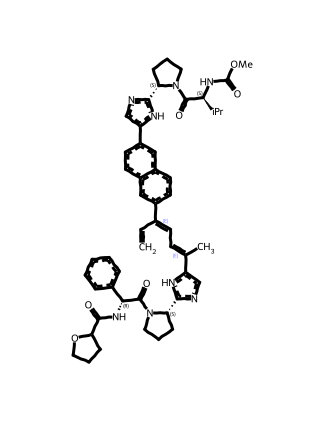 C=C/C(=C\C=C(/C)c1cnc([C@@H]2CCCN2C(=O)[C@H](NC(=O)C2CCCO2)c2ccccc2)[nH]1)c1ccc2cc(-c3cnc([C@@H]4CCCN4C(=O)[C@@H](NC(=O)OC)C(C)C)[nH]3)ccc2c1